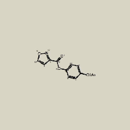 COc1ccc(OC(=O)c2ccon2)cc1